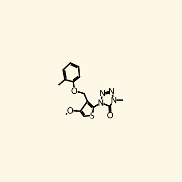 COc1csc(-n2nnn(C)c2=O)c1COc1ccccc1C